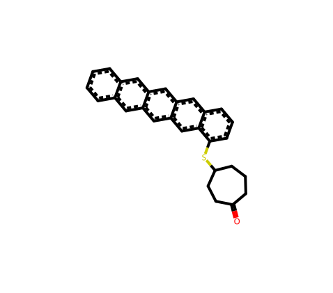 O=C1CCCC(Sc2cccc3cc4cc5cc6ccccc6cc5cc4cc23)CC1